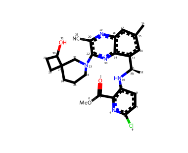 COC(=O)c1nc(Cl)ccc1N[C@H](C)c1cc(C)cc2nc(C#N)c(N3CCCC4(CCC4O)C3)nc12